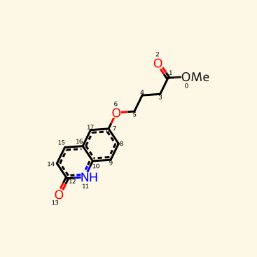 COC(=O)CCCOc1ccc2[nH]c(=O)ccc2c1